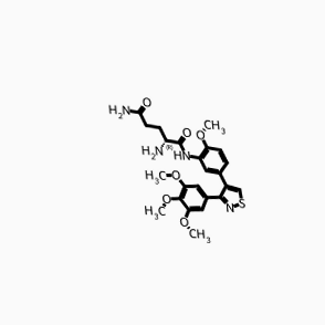 COc1ccc(-c2csnc2-c2cc(OC)c(OC)c(OC)c2)cc1NC(=O)[C@H](N)CCC(N)=O